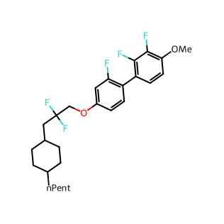 CCCCCC1CCC(CC(F)(F)COc2ccc(-c3ccc(OC)c(F)c3F)c(F)c2)CC1